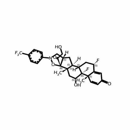 C[C@]12C=CC(=O)C=C1[C@@H](F)C[C@H]1[C@@H]3C[C@H]4CN(c5ccc(C(F)(F)F)cc5)O[C@@]4(C(=O)CO)[C@@]3(C)C[C@H](O)[C@@]12F